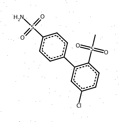 CS(=O)(=O)c1ccc(Cl)cc1-c1ccc(S(N)(=O)=O)cc1